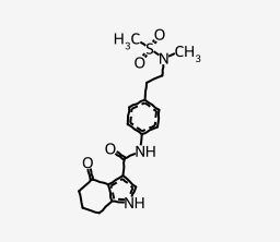 CN(CCc1ccc(NC(=O)c2c[nH]c3c2C(=O)CCC3)cc1)S(C)(=O)=O